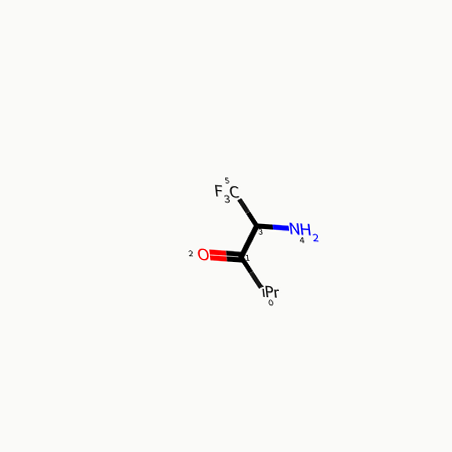 CC(C)C(=O)C(N)C(F)(F)F